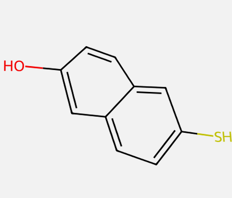 Oc1ccc2cc(S)ccc2c1